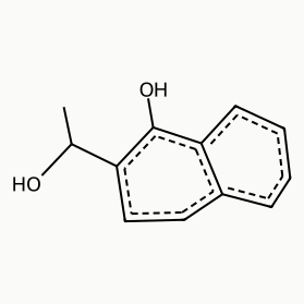 CC(O)c1ccc2ccccc2c1O